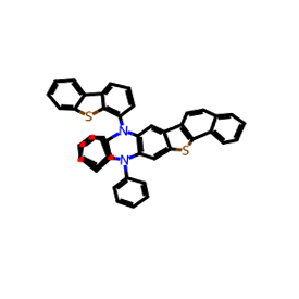 c1ccc(N(c2ccccc2)c2cc3sc4c5ccccc5ccc4c3cc2N(c2ccccc2)c2cccc3c2sc2ccccc23)cc1